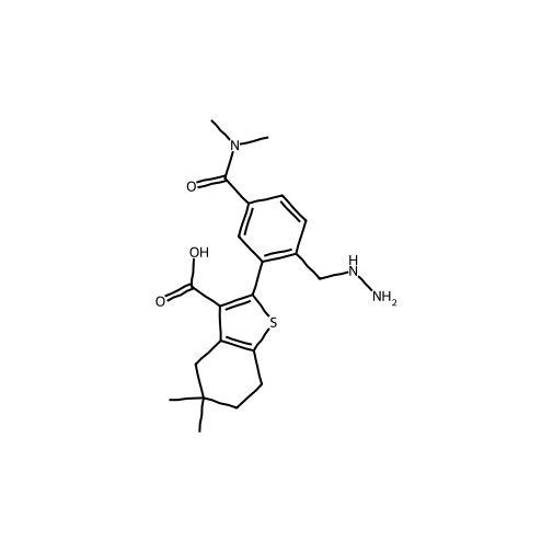 CN(C)C(=O)c1ccc(CNN)c(-c2sc3c(c2C(=O)O)CC(C)(C)CC3)c1